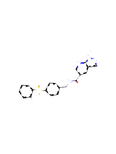 O=C(NCc1ccc(S(=O)(=O)c2ccccc2Cl)cc1)c1cnc2[nH]ncc2c1